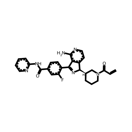 C=CC(=O)N1CCC[C@@H](C2N=C(c3ccc(C(=O)Nc4ccccn4)cc3F)c3c2ccnc3N)C1